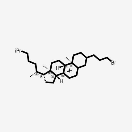 CC(C)CCC[C@@H](C)[C@H]1CC[C@H]2[C@@H]3CCC4CC(CCCBr)CC[C@]4(C)[C@H]3CC[C@]12C